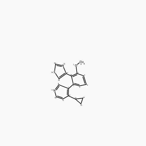 COc1cccc(-c2cnccc2C2CC2)c1-c1cscn1